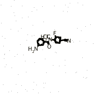 CN(C(=O)c1cc(N)ccc1Cl)c1ccc(C#N)cc1F